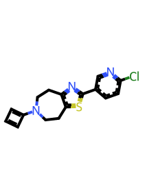 Clc1ccc(-c2nc3c(s2)CCN(C2=CC=C2)CC3)cn1